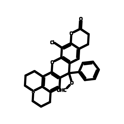 O=COC1(c2ccccc2)c2cc3c(c(Cl)c2Oc2c1cc1c4c2CCCN4CCC1)OC(=O)CC3